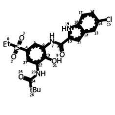 CCS(=O)(=O)c1cc(NC(=O)c2cc3cc(Cl)ccc3[nH]2)c(O)c(NC(=O)C(C)(C)C)c1